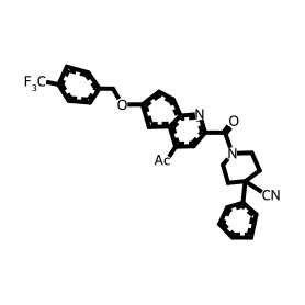 CC(=O)c1cc(C(=O)N2CCC(C#N)(c3ccccc3)CC2)nc2ccc(OCc3ccc(C(F)(F)F)cc3)cc12